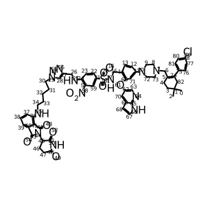 CC1(C)CCC(CN2CCN(c3ccc(C(=O)NS(=O)(=O)c4ccc(NCc5cn(CCCCCNc6cccc7c6C(=O)N(C6CCC(=O)NC6=O)C7=O)nn5)c([N+](=O)[O-])c4)c(Oc4cnc5[nH]ccc5c4)c3)CC2)=C(c2ccc(Cl)cc2)C1